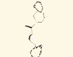 O=C(/C=C/c1ccccc1)N(Cc1ccccc1)CC1CO1